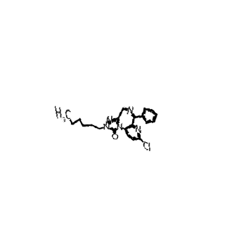 CCCCCCn1nc2n(c1=O)-c1ccc(Cl)nc1C(c1ccccc1)=NC2